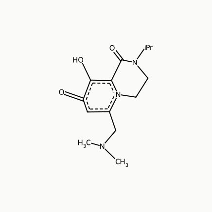 CC(C)N1CCn2c(CN(C)C)cc(=O)c(O)c2C1=O